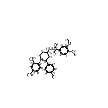 COc1ccc(S(=O)(=O)NC2CCN(c3ccc(Cl)cc3Cl)C(c3ccc(Cl)cc3)C2)cc1OC